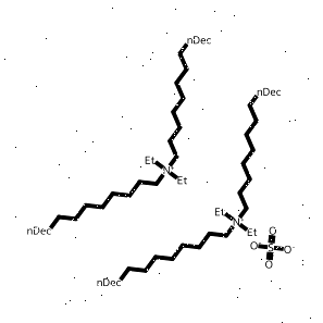 CCCCCCCCCCCCCCCCCC[N+](CC)(CC)CCCCCCCCCCCCCCCCCC.CCCCCCCCCCCCCCCCCC[N+](CC)(CC)CCCCCCCCCCCCCCCCCC.O=S(=O)([O-])[O-]